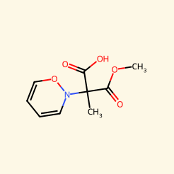 COC(=O)C(C)(C(=O)O)N1C=CC=CO1